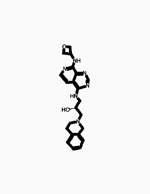 O[C@H](CNc1ncnc2c(NC3COC3)nccc12)CN1CCc2ccccc2C1